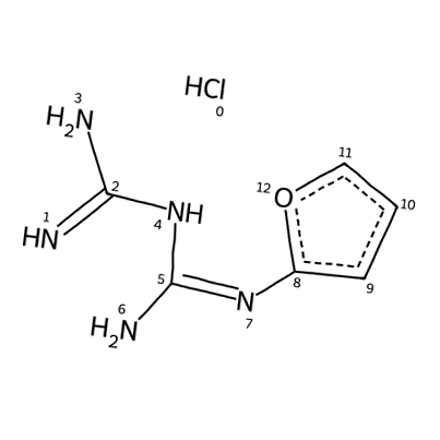 Cl.N=C(N)NC(N)=Nc1ccco1